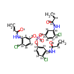 C=CC(=O)Nc1cc(OP(=O)(Oc2ccc(Cl)c(NC(=O)C=C)c2)Oc2ccc(Cl)c(NC(=O)C=C)c2)ccc1Cl